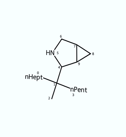 CCCCCCCC(C)(CCCCC)C1NCC2CC21